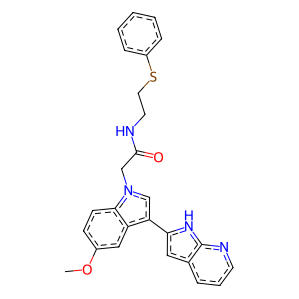 COc1ccc2c(c1)c(-c1cc3cccnc3[nH]1)cn2CC(=O)NCCSc1ccccc1